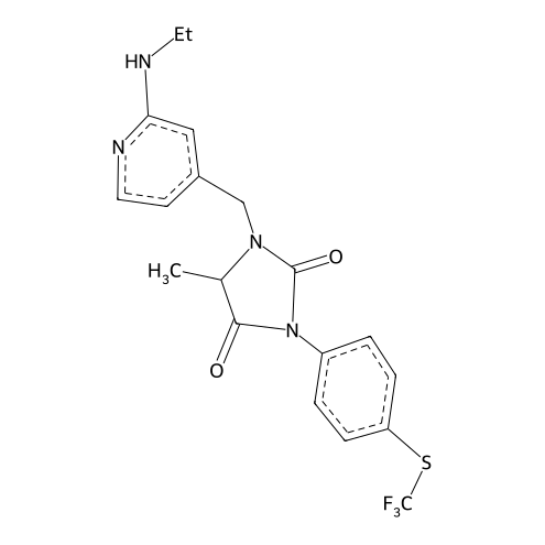 CCNc1cc(CN2C(=O)N(c3ccc(SC(F)(F)F)cc3)C(=O)C2C)ccn1